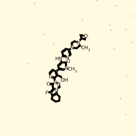 C[C@@H]1CN(c2ccc(Nc3cc(-c4ccnc(-n5ncn6c7c(c(F)c6c5=O)CCCC7)c4CO)cn(C)c3=O)nc2)CCN1C1COC1